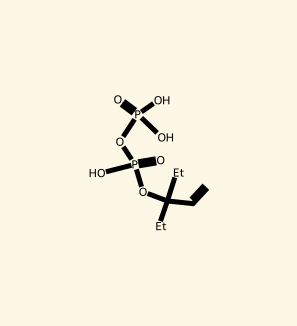 C=CC(CC)(CC)OP(=O)(O)OP(=O)(O)O